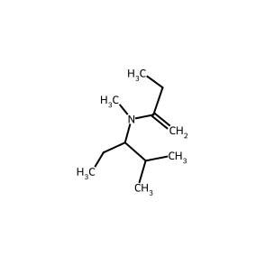 C=C(CC)N(C)C(CC)C(C)C